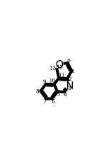 C1=Cc2ncc3ccccc3c2CO1